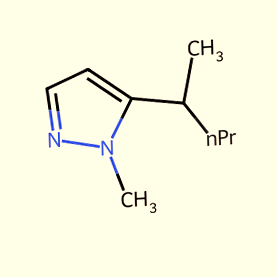 CCCC(C)c1ccnn1C